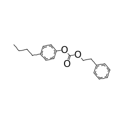 CCCCc1ccc(OC(=O)OCCc2ccccc2)cc1